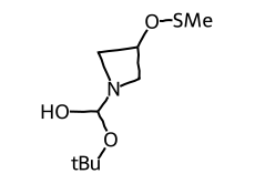 CSOC1CN(C(O)OC(C)(C)C)C1